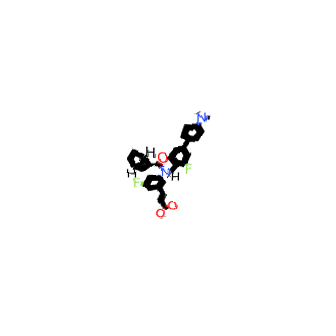 [2H][C@@H](c1ccc(-c2ccc(N(C)C)cc2)cc1F)N(C(=O)[C@H]1C[C@H]2CC[C@@H]1C2)c1cc(F)cc(/C=C/C(=O)OC)c1